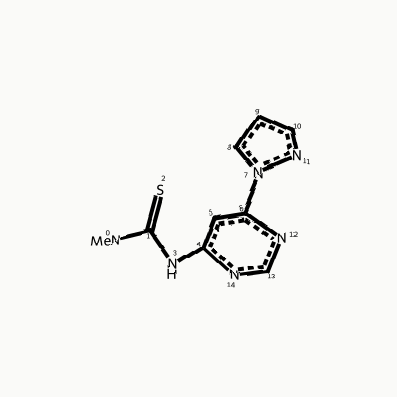 CNC(=S)Nc1cc(-n2cccn2)ncn1